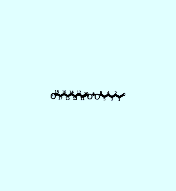 CCCCCCCOCOC=CCCCCCCC=O